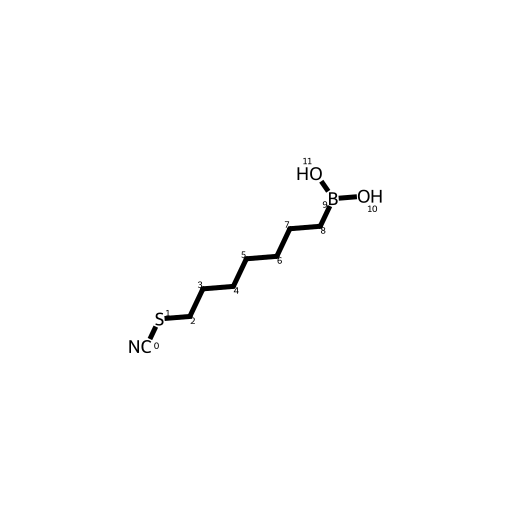 N#CSCCCCCCCB(O)O